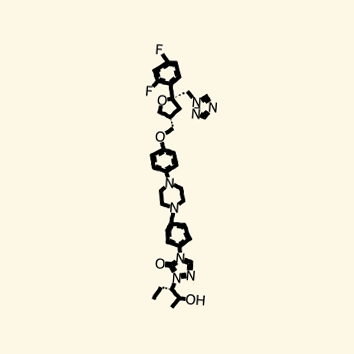 CC[C@@H](C(C)O)n1ncn(-c2ccc(N3CCN(c4ccc(OC[C@@H]5CO[C@@](Cn6cncn6)(c6ccc(F)cc6F)C5)cc4)CC3)cc2)c1=O